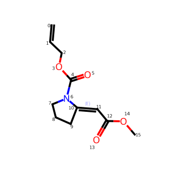 C=CCOC(=O)N1CCC/C1=C\C(=O)OC